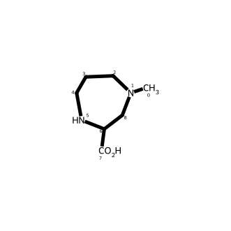 CN1CCCNC(C(=O)O)C1